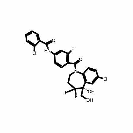 O=C(Nc1ccc(C(=O)N2CCC(F)(F)[C@](O)(CO)c3cc(Cl)ccc32)c(F)c1)c1ccccc1Cl